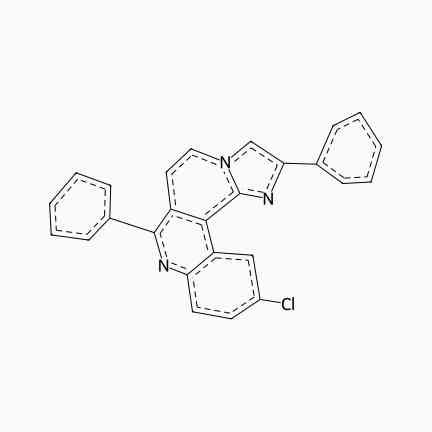 Clc1ccc2nc(-c3ccccc3)c3ccn4cc(-c5ccccc5)nc4c3c2c1